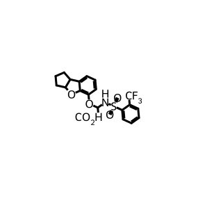 O=C(O)C(NS(=O)(=O)c1ccccc1C(F)(F)F)Oc1cccc2c1OC1CCCC21